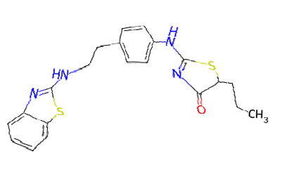 CCCC1SC(Nc2ccc(CCNc3nc4ccccc4s3)cc2)=NC1=O